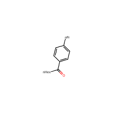 CCCCCCC(=O)c1ccc(CCC)cc1